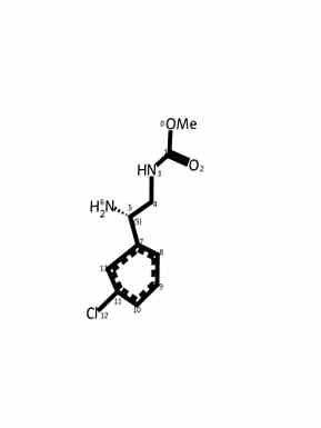 COC(=O)NC[C@@H](N)c1cccc(Cl)c1